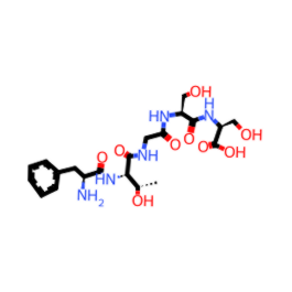 C[C@H](O)[C@H](NC(=O)[C@@H](N)Cc1ccccc1)C(=O)NCC(=O)N[C@@H](CO)C(=O)N[C@@H](CO)C(=O)O